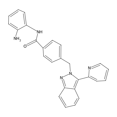 Nc1ccccc1NC(=O)c1ccc(Cn2nc3ccccc3c2-c2ccccn2)cc1